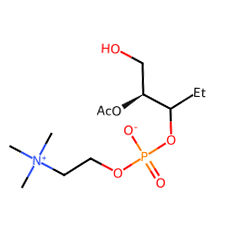 CCC(OP(=O)([O-])OCC[N+](C)(C)C)[C@H](CO)OC(C)=O